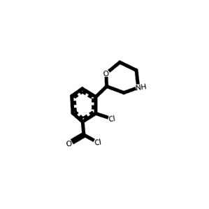 O=C(Cl)c1cccc(C2CNCCO2)c1Cl